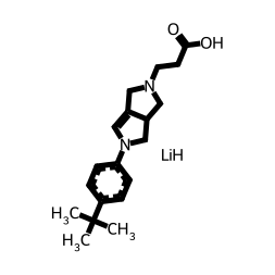 CC(C)(C)c1ccc(N2C=C3CN(CCC(=O)O)CC3C2)cc1.[LiH]